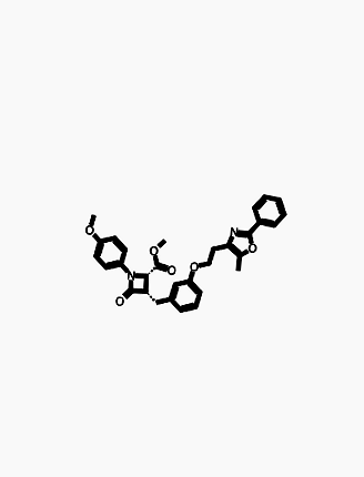 COC(=O)[C@@H]1[C@H](Cc2cccc(OCCc3nc(-c4ccccc4)oc3C)c2)C(=O)N1c1ccc(OC)cc1